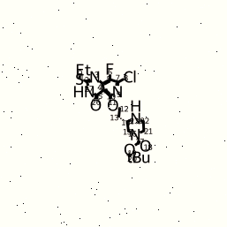 CCSc1nc2c(F)c(Cl)nc(OCC[C@H]3CN(C(=O)OC(C)(C)C)CCN3)c2c(=O)[nH]1